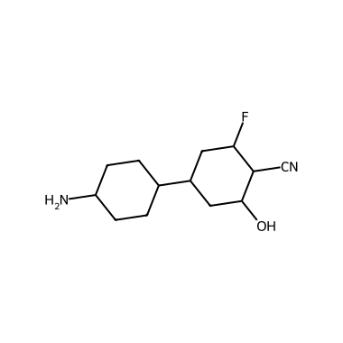 N#CC1C(O)CC(C2CCC(N)CC2)CC1F